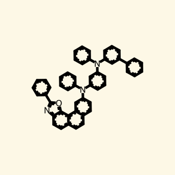 c1ccc(-c2cccc(N(c3ccccc3)c3cccc(N(c4ccccc4)c4ccc5ccc6ccc7nc(-c8ccccc8)oc7c6c5c4)c3)c2)cc1